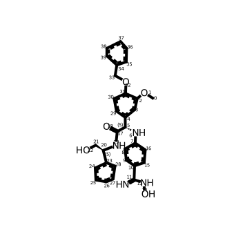 COc1cc([C@H](Nc2ccc(C(=N)NO)cc2)C(=O)N[C@H](CO)c2ccccc2)ccc1OCc1ccccc1